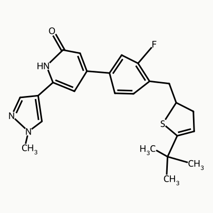 Cn1cc(-c2cc(-c3ccc(CC4CC=C(C(C)(C)C)S4)c(F)c3)cc(=O)[nH]2)cn1